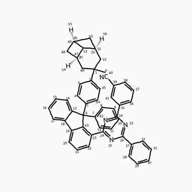 CC1(c2ccc(C3(c4ccccc4)c4ccccc4-c4cccc(-c5nc(-c6ccccc6)nc(-c6cccc(C#N)c6)n5)c43)cc2)C[C@H]2C[C@H]3C[C@@H](C1)C32